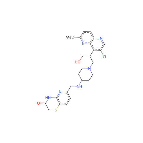 COc1ccc2ncc(Cl)c(C(CO)CN3CCC(NCc4ccc5c(n4)NC(=O)CS5)CC3)c2n1